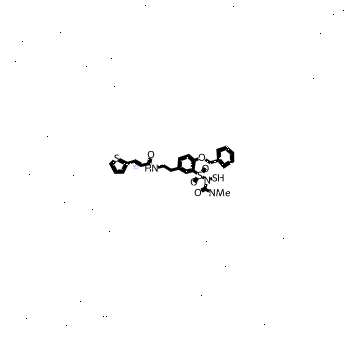 CNC(=O)N(S)S(=O)(=O)c1cc(CCNC(=O)/C=C/c2cccs2)ccc1OCc1ccccc1